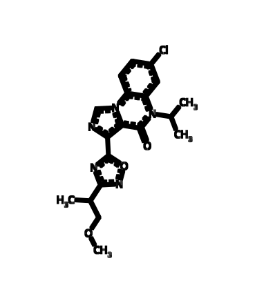 COCC(C)c1noc(-c2ncn3c2c(=O)n(C(C)C)c2cc(Cl)ccc23)n1